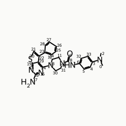 CN(C)c1ccc(NC(=O)N2CCN(c3nc(N)nc4scc(-c5ccccc5)c34)CC2)cc1